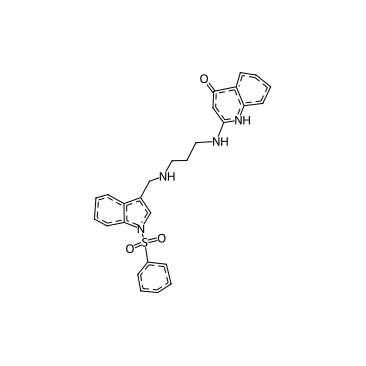 O=c1cc(NCCCNCc2cn(S(=O)(=O)c3ccccc3)c3ccccc23)[nH]c2ccccc12